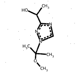 COC(C)(C)n1cnc(C(C)O)n1